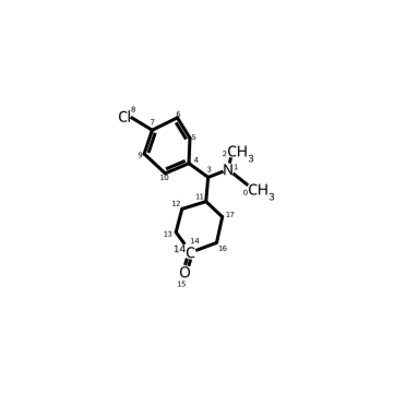 CN(C)C(c1ccc(Cl)cc1)C1CC[14C](=O)CC1